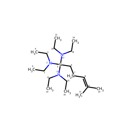 CCN(CC)[Si](C[SiH2]C=C(C)C)(N(CC)CC)N(CC)CC